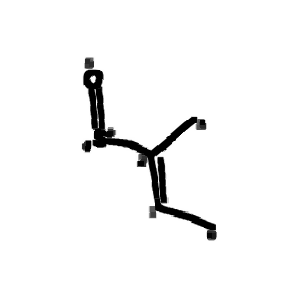 C/C=C(\C)[S+]=O